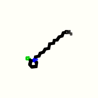 CCCCCCCCCCCCCC[n+]1ccccc1Cl